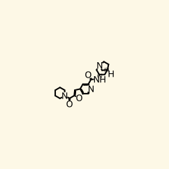 O=C(N[C@@H]1C[C@@H]2CCN(C2)C1)c1cc2cc(C(=O)N3CCCCC3)oc2cn1